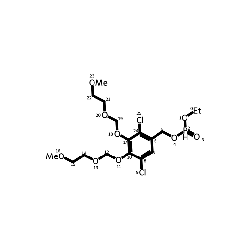 CCO[PH](=O)OCc1cc(Cl)c(OCOCCOC)c(OCOCCOC)c1Cl